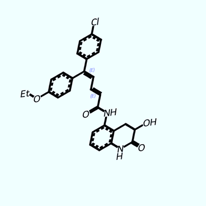 CCOc1ccc(/C(=C\C=C\C(=O)Nc2cccc3c2CC(O)C(=O)N3)c2ccc(Cl)cc2)cc1